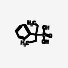 CCC(CC)(c1[c]cccc1)P(=O)(O)O